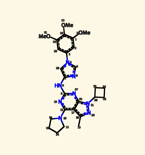 COc1cc(-n2cnc(Nc3nc(N4CCCC4)c4c(C)nn(C5CCC5)c4n3)c2)cc(OC)c1OC